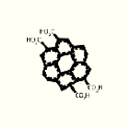 O=C(O)c1cc2ccc3cc(C(=O)O)c4c(C(=O)O)cc5ccc6cc(C(=O)O)c1c1c2c3c4c5c61